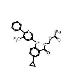 CC(C)(C)C(=O)OCOC(=O)c1cc(C2CC2)ccc1Nc1cnc(-c2ccccc2)c(C(F)(F)F)c1